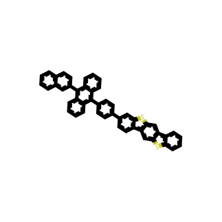 c1ccc2cc(-c3c4ccccc4c(-c4ccc(-c5ccc6c(c5)sc5cc7c(cc56)sc5ccccc57)cc4)c4ccccc34)ccc2c1